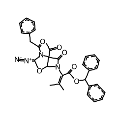 CC(=O)C12C(=O)N(C(C(=O)OC(c3ccccc3)c3ccccc3)=C(C)C)C1OC(=[N+]=[N-])N2C(=O)Cc1ccccc1